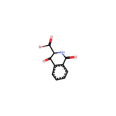 O=C1NC(C(=O)Br)C(=O)c2ccccc21